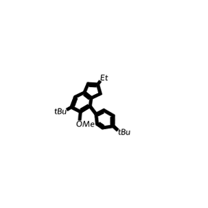 CCC1=Cc2cc(C(C)(C)C)c(OC)c(-c3ccc(C(C)(C)C)cc3)c2C1